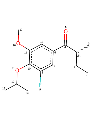 CC[C@@H](C)C(=O)c1cc(F)c(OC(C)C)c(OC)c1